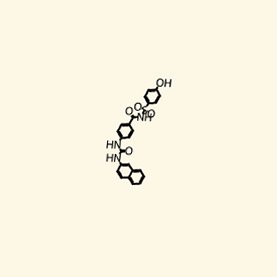 O=C(Nc1ccc(C(=O)NS(=O)(=O)c2ccc(O)cc2)cc1)Nc1ccc2ccccc2c1